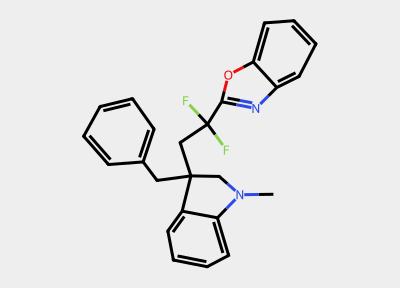 CN1CC(Cc2ccccc2)(CC(F)(F)c2nc3ccccc3o2)c2ccccc21